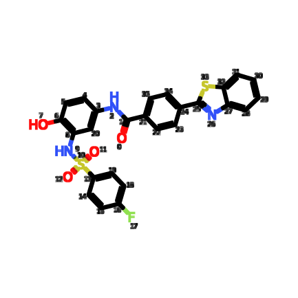 O=C(Nc1ccc(O)c(NS(=O)(=O)c2ccc(F)cc2)c1)c1ccc(-c2nc3ccccc3s2)cc1